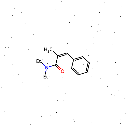 CCN(CC)C(=O)/C(C)=C\c1cc[c]cc1